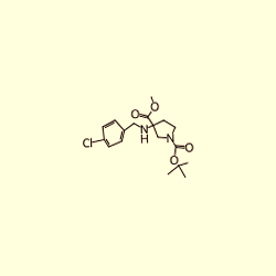 COC(=O)C1(NCc2ccc(Cl)cc2)CCN(C(=O)OC(C)(C)C)C1